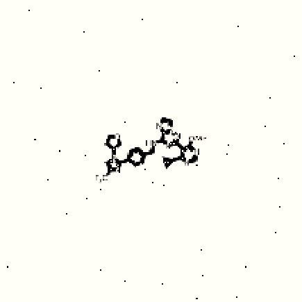 COc1ncnc(C2CC2)c1-c1nc(NCc2ccc(-c3nc(C(F)(F)F)cn3C3CCOC3)cc2)c2nccn2n1